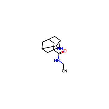 N#CCNC(=O)C12CC3CC(C1)C(N)C(C3)C2